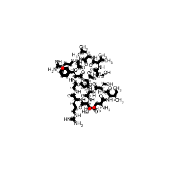 CC[C@H](C)[C@H](NC(=O)[C@@H](N)CC(=O)O)C(=O)N[C@@H](CO)C(=O)N[C@@H](CO)C(=O)N[C@H](C(=O)N[C@@H](CCCNC(=N)N)C(=O)NCC(=O)N[C@@H](Cc1ccccc1)C(=O)N1CCC[C@H]1C(=O)N[C@@H](CO)C(=O)N[C@H](C(=O)N[C@@H](CC(C)C)C(=O)N[C@@H](CCCNC(=N)N)C(=O)O)C(C)C)[C@@H](C)O